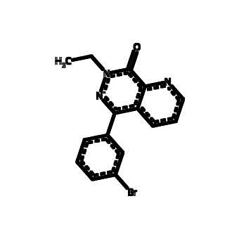 CCn1nc(-c2cccc(Br)c2)c2cccnc2c1=O